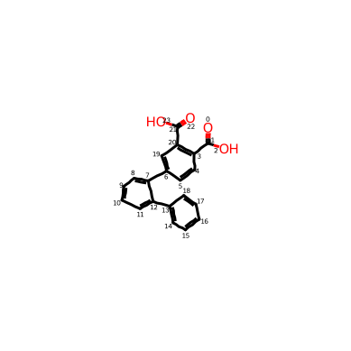 O=C(O)c1ccc(-c2ccccc2-c2ccccc2)cc1C(=O)O